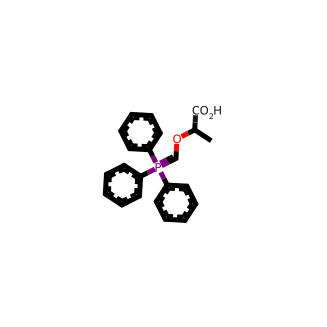 CC(OC=P(c1ccccc1)(c1ccccc1)c1ccccc1)C(=O)O